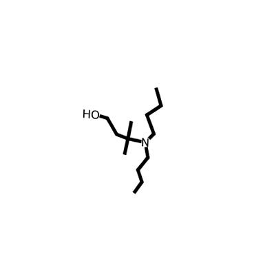 CCCCN(CCCC)C(C)(C)CCO